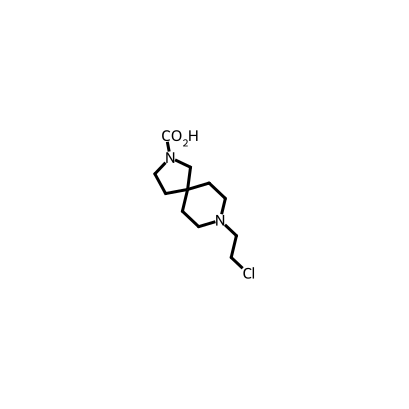 O=C(O)N1CCC2(CCN(CCCl)CC2)C1